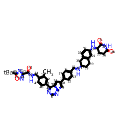 Cc1cc(-c2ncnn3cc(-c4ccc(CNC5CCc6cc(NC7CCC(=O)NC7=O)ccc6C5)cc4)cc23)ccc1CNC(=O)c1noc(C(C)(C)C)n1